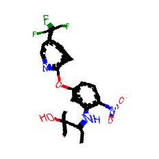 CC(Nc1cc(Oc2ccc(C(F)(F)F)cn2)ccc1[N+](=O)[O-])C(C)(C)O